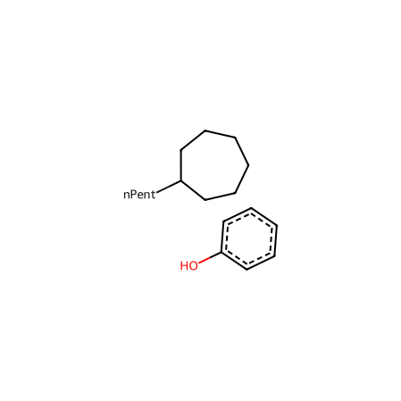 CCCCCC1CCCCCC1.Oc1ccccc1